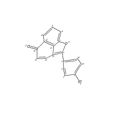 CCc1ccc(-c2oc3cccc4c3c2C=CC4=O)cc1